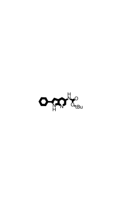 CC(C)(C)OC(=O)Nc1cnc2[nH]c(-c3ccccc3)cc2c1